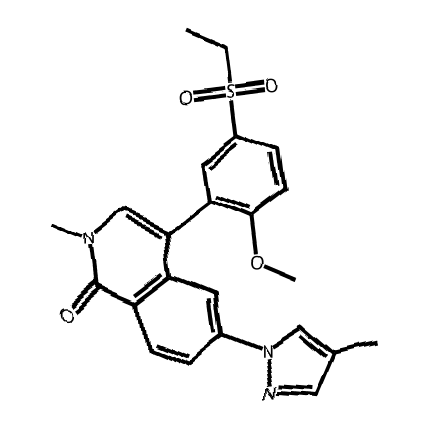 CCS(=O)(=O)c1ccc(OC)c(-c2cn(C)c(=O)c3ccc(-n4cc(C)cn4)cc23)c1